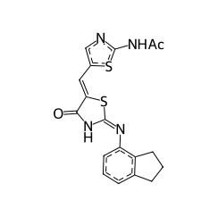 CC(=O)Nc1ncc(C=C2SC(=Nc3cccc4c3CCC4)NC2=O)s1